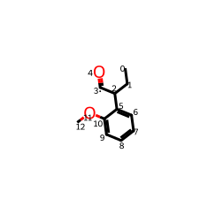 CCC([C]=O)c1ccccc1OC